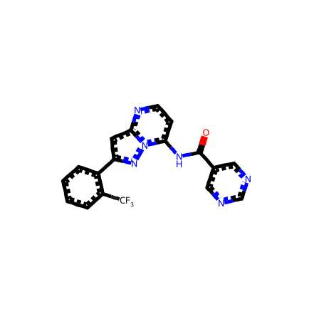 O=C(Nc1ccnc2cc(-c3ccccc3C(F)(F)F)nn12)c1cncnc1